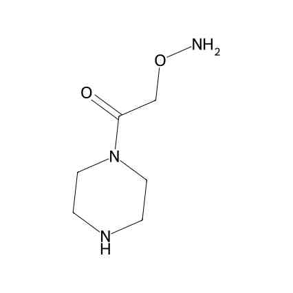 NOCC(=O)N1CCNCC1